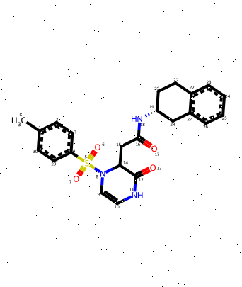 Cc1ccc(S(=O)(=O)N2C=CNC(=O)C2CC(=O)N[C@@H]2CCc3ccccc3C2)cc1